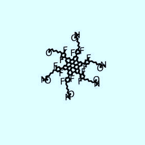 C=NC(=O)CCCCCc1cc(F)c(-c2cc3c4cc(-c5cc(F)c(CCCCCC(=O)N(C)C)cc5F)cc5c6cc(-c7cc(F)c(CCCCCC(C)=O)cc7F)cc7c8cc(-c9cc(F)c(CCCCCC(=O)N(C)C)cc9F)cc9c%10cc(-c%11cc(F)c(CCCCCC(=O)N(C)C)cc%11F)cc%11c%12cc(-c%13cc(F)c(CCCCCC(=O)N(C)C)cc%13F)cc%13c(c2)c3c2c(c54)c(c67)c(c89)c(c%10%11)c2c%13%12)cc1F